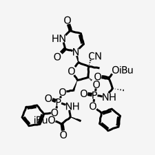 CC(C)COC(=O)[C@H](C)NP(=O)(OC[C@H]1O[C@@H](n2ccc(=O)[nH]c2=O)[C@](C)(C#N)[C@@H]1OP(=O)(N[C@@H](C)C(=O)OCC(C)C)Oc1ccccc1)Oc1ccccc1